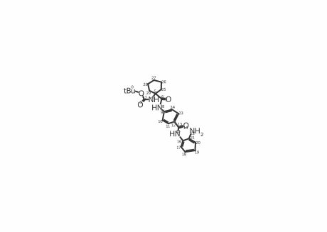 CC(C)(C)OC(=O)NC1(C(=O)Nc2ccc(C(=O)Nc3ccccc3N)cc2)CCCCC1